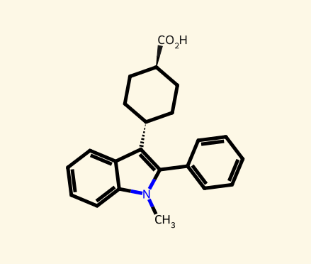 Cn1c(-c2ccccc2)c([C@H]2CC[C@H](C(=O)O)CC2)c2ccccc21